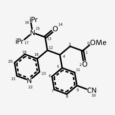 COC(=O)CC(c1cccc(C#N)c1)C(C(=O)N(C(C)C)C(C)C)c1cccnc1